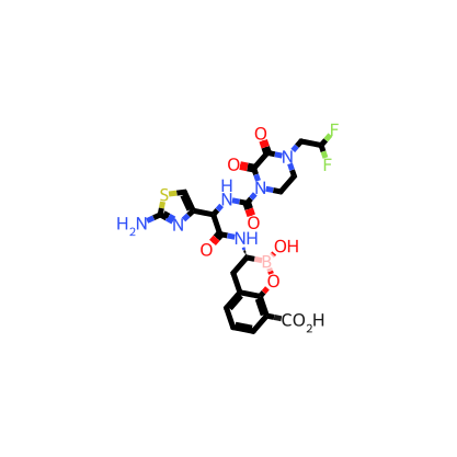 Nc1nc(C(NC(=O)N2CCN(CC(F)F)C(=O)C2=O)C(=O)N[C@H]2Cc3cccc(C(=O)O)c3OB2O)cs1